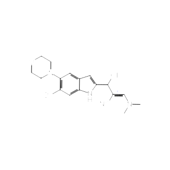 CN(C)/C=C(\C#N)C(O)c1cc2cc(N3CCOCC3)c(Br)cc2[nH]1